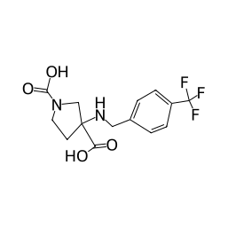 O=C(O)N1CCC(NCc2ccc(C(F)(F)F)cc2)(C(=O)O)C1